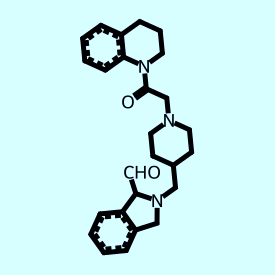 O=CC1c2ccccc2CN1CC1CCN(CC(=O)N2CCCc3ccccc32)CC1